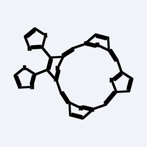 C1=CC2=NC1=CC1=NC(=CC3=NC(=CC4=NC(=C2)C=C4)C(c2nccs2)=C3c2nccs2)C=C1